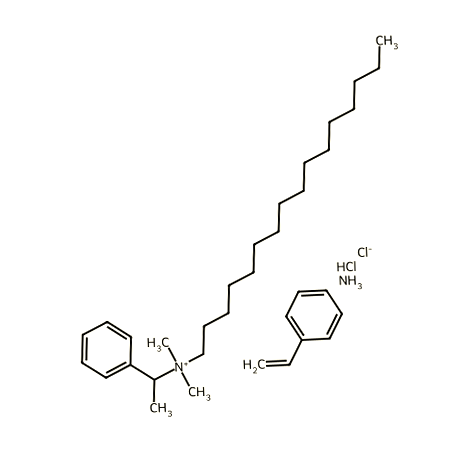 C=Cc1ccccc1.CCCCCCCCCCCCCCCC[N+](C)(C)C(C)c1ccccc1.Cl.N.[Cl-]